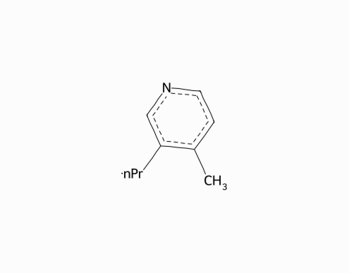 CC[CH]c1cnccc1C